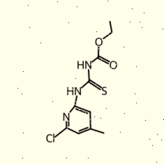 CCOC(=O)NC(=S)Nc1cc(C)cc(Cl)n1